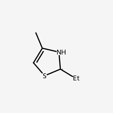 CC[C]1NC(C)=CS1